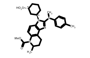 COC(=O)N1c2ccc3c(nc(N(C)c4ccc(C)cc4)n3[C@@H]3CCC[C@@H](C(=O)O)C3)c2CCC1C